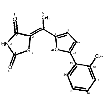 CC(=C1SC(=O)NC1=O)c1ccc(-c2ccccc2Cl)o1